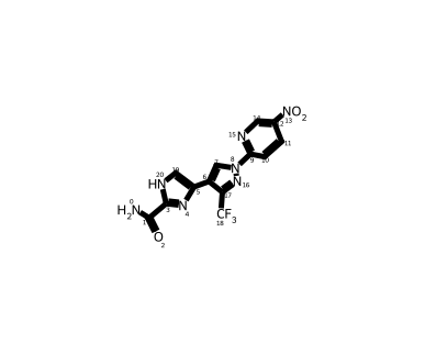 NC(=O)c1nc(-c2cn(-c3ccc([N+](=O)[O-])cn3)nc2C(F)(F)F)c[nH]1